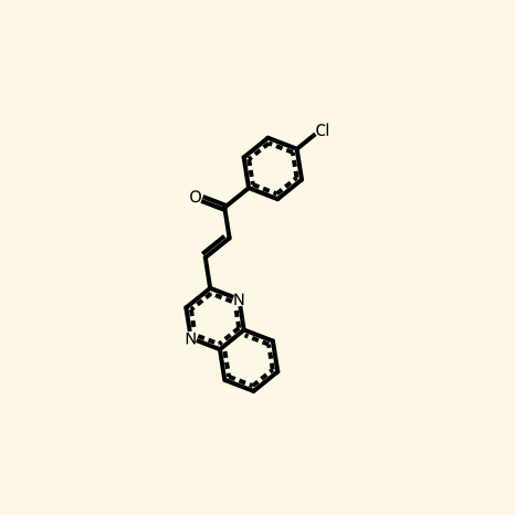 O=C(C=Cc1cnc2ccccc2n1)c1ccc(Cl)cc1